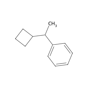 CC(c1ccccc1)C1CCC1